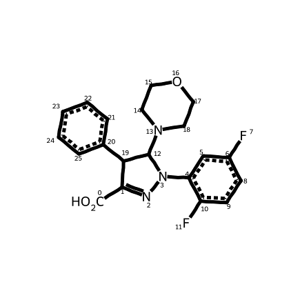 O=C(O)C1=NN(c2cc(F)ccc2F)C(N2CCOCC2)C1c1ccccc1